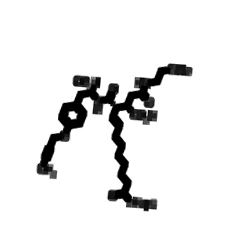 CC#CCOc1ccc(C[C@H](NC(=O)[C@@H](/C=C/CCCCCCC(=O)CCCCCCC)[C@@H](CC(=O)NCCOC)C(=O)O)C(=O)O)cc1